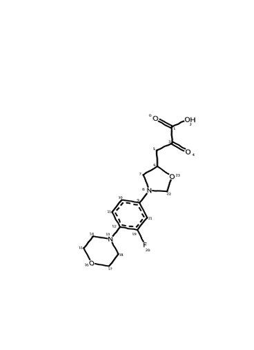 O=C(O)C(=O)CC1CN(c2ccc(N3CCOCC3)c(F)c2)CO1